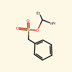 CCCC(CC)OS(=O)(=O)Cc1ccccc1